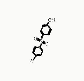 CC(C)c1ccc(S(=O)(=O)c2ccc(O)cc2)cc1